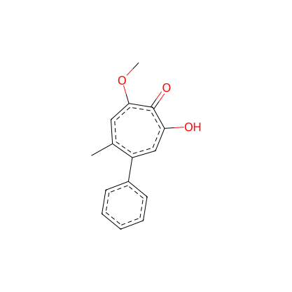 COc1cc(C)c(-c2ccccc2)cc(O)c1=O